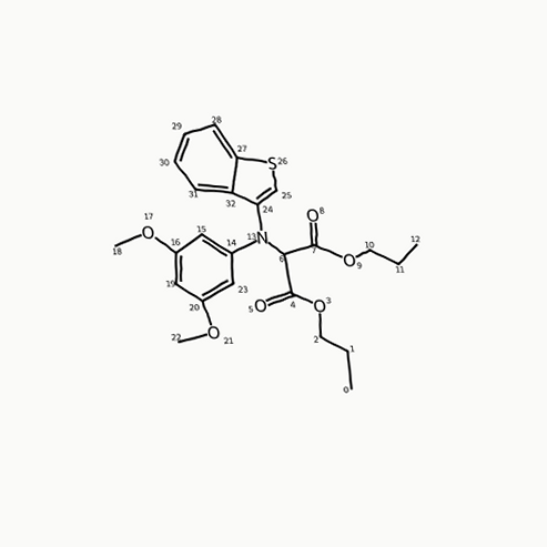 CCCOC(=O)C(C(=O)OCCC)N(c1cc(OC)cc(OC)c1)c1csc2ccccc12